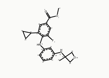 COC(=O)c1cc(F)c(Nc2cccc(NC3(C)COC3)c2)c(C2CC2)c1